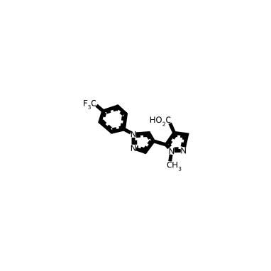 Cn1ncc(C(=O)O)c1-c1cnn(-c2ccc(C(F)(F)F)cc2)c1